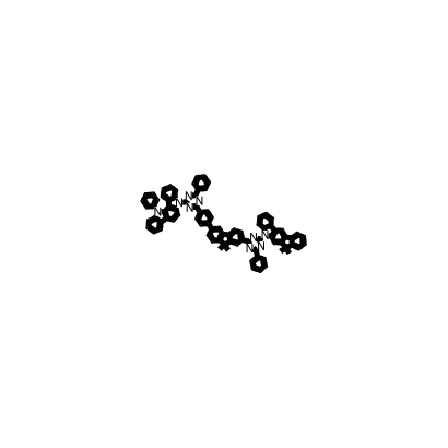 CC1(C)c2ccc(-c3ccc(-c4nc(-c5ccccc5)nc(-n5c6ccccc6c6c5ccc5c7ccccc7n(-c7ccccc7)c56)n4)cc3)cc2-c2ccc(-c3nc(-c4ccccc4)nc(N4c5cc6c(cc5C5C=CC=CC54)-c4ccccc4C6(C)C)n3)cc21